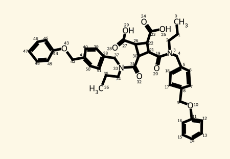 CCCN(Cc1ccc(COc2ccccc2)cc1)C(=O)C1C(C(=O)O)C(C(=O)O)C1C(=O)N(CCC)Cc1ccc(COc2ccccc2)cc1